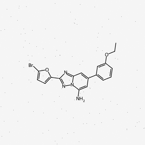 CCOc1cccc(-c2cc(N)n3nc(-c4ccc(Br)o4)nc3c2)c1